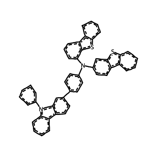 c1ccc(-n2c3ccccc3c3ccc(-c4ccc(N(c5ccc6c(c5)sc5ccccc56)c5cccc6c5sc5ccccc56)cc4)cc32)cc1